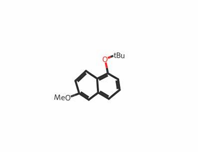 [CH2]Oc1ccc2c(OC(C)(C)C)cccc2c1